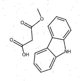 COC(=O)CC(=O)O.c1ccc2c(c1)[nH]c1ccccc12